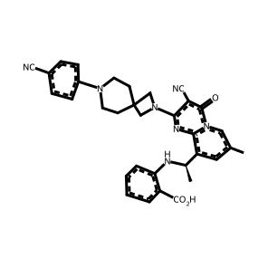 Cc1cc([C@@H](C)Nc2ccccc2C(=O)O)c2nc(N3CC4(CCN(c5ccc(C#N)cc5)CC4)C3)c(C#N)c(=O)n2c1